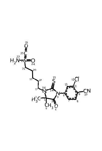 CC1(C)C(=O)N(c2ccc(C#N)c(Cl)c2)C(=S)N1CCCCCS(N)(=O)=C=O